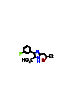 CCC(Br)Cc1nc(-c2cccc(F)c2)c(C(=O)O)[nH]1